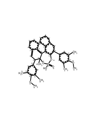 Cc1cc(-c2cc3ccccc3c3c2OP(=O)(O)OC2(C)C3=c3ccccc3=CC2c2cc(C)c(OP)c(C)c2)cc(C)c1OP